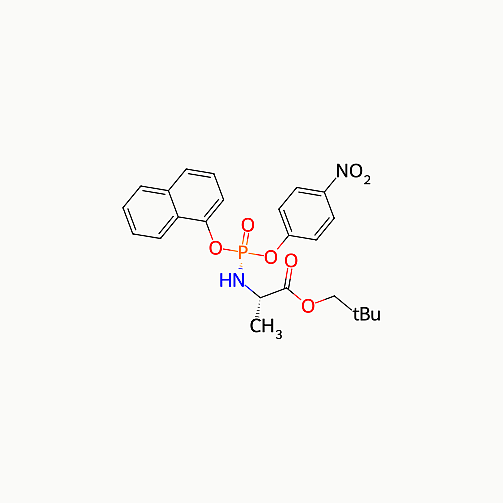 C[C@H](N[P@](=O)(Oc1ccc([N+](=O)[O-])cc1)Oc1cccc2ccccc12)C(=O)OCC(C)(C)C